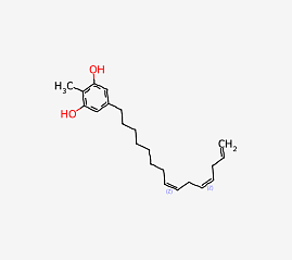 C=CC/C=C\C/C=C\CCCCCCCc1cc(O)c(C)c(O)c1